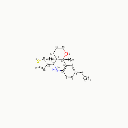 CCc1ccc2c(c1)[C@H]1OCCC[C@H]1[C@H](C1C=CSC1)N2